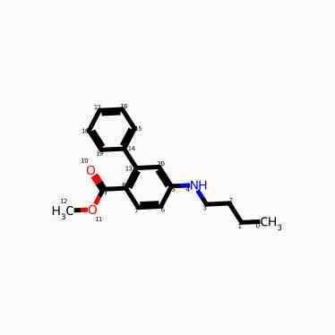 CCCCNc1ccc(C(=O)OC)c(-c2ccccc2)c1